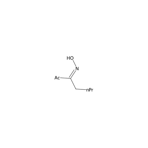 CCCCC(=NO)C(C)=O